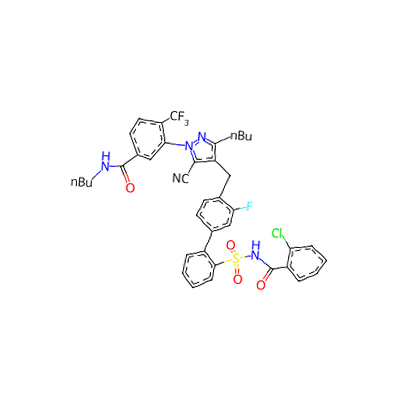 CCCCNC(=O)c1ccc(C(F)(F)F)c(-n2nc(CCCC)c(Cc3ccc(-c4ccccc4S(=O)(=O)NC(=O)c4ccccc4Cl)cc3F)c2C#N)c1